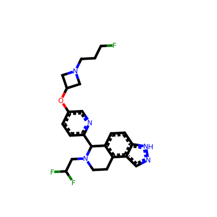 FCCCN1CC(Oc2ccc(C3c4ccc5[nH]ncc5c4CCN3CC(F)F)nc2)C1